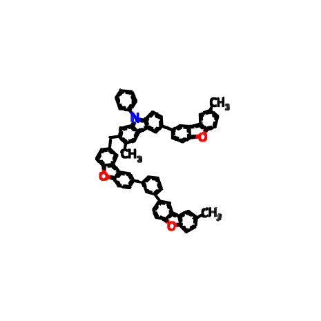 Cc1ccc2oc3ccc(-c4cccc(-c5ccc6oc7ccc(Cc8cc9c(cc8C)c8cc(-c%10ccc%11oc%12ccc(C)cc%12c%11c%10)ccc8n9-c8ccccc8)cc7c6c5)c4)cc3c2c1